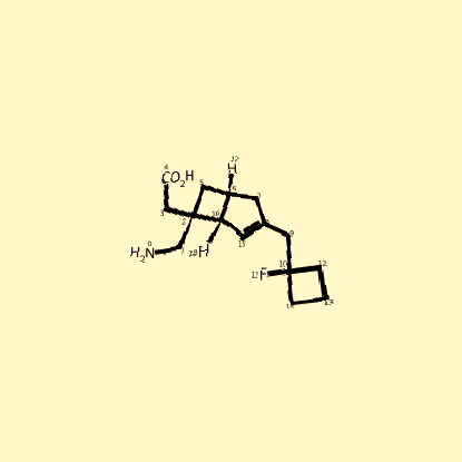 NC[C@@]1(CC(=O)O)C[C@@H]2CC(CC3(F)CCC3)=C[C@@H]21